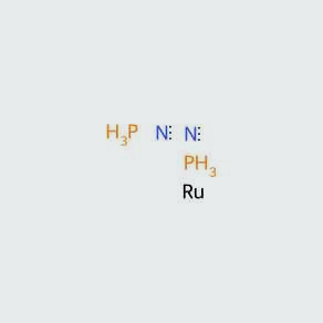 P.P.[N].[N].[Ru]